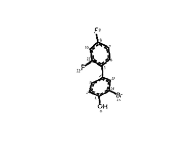 Oc1ccc(-c2ccc(F)cc2F)cc1Br